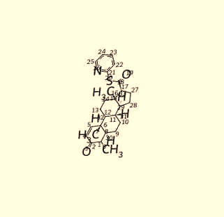 CC1C(=O)C=C[C@@]2(C)[C@H]1CC[C@@H]1[C@@H]2CC[C@]2(C)[C@@H](C(=O)Sc3ccccn3)CC[C@@H]12